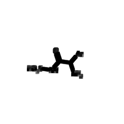 CC(=O)C(N)C(=O)NS(=O)(=O)O